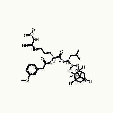 COc1cccc(CC(=O)N[C@@H](CCCNC(=N)N[N+](=O)[O-])C(=O)N[C@@H](CC(C)C)B2O[C@@H]3C[C@@H]4C[C@@H](C4(C)C)[C@]3(C)O2)c1